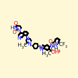 C[C@H]1CN(c2cccc3c(N4CCC(=O)NC4=O)cncc23)CCN1C[C@H]1CC[C@H](n2cc3cc(NC(=O)c4cccc(C(F)(F)F)n4)c(C(C)(C)O)cc3n2)CC1